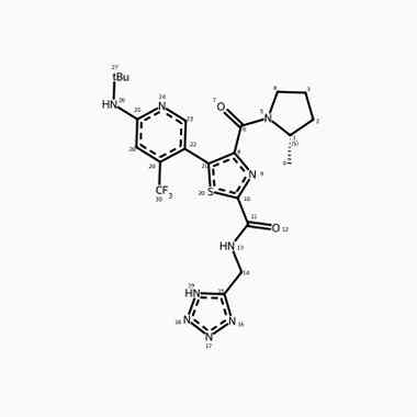 C[C@H]1CCCN1C(=O)c1nc(C(=O)NCc2nnn[nH]2)sc1-c1cnc(NC(C)(C)C)cc1C(F)(F)F